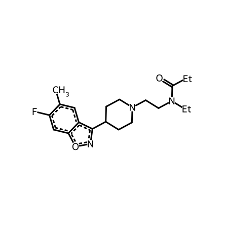 CCC(=O)N(CC)CCN1CCC(c2noc3cc(F)c(C)cc23)CC1